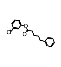 O=C(CCCCc1ccccc1)Oc1cccc(Cl)c1